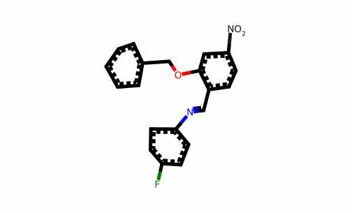 O=[N+]([O-])c1ccc(C=Nc2ccc(F)cc2)c(OCc2ccccc2)c1